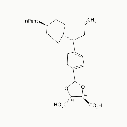 C=CCC(c1ccc(C2O[C@@H](C(=O)O)[C@H](C(=O)O)O2)cc1)[C@H]1CC[C@H](CCCCC)CC1